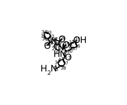 NCc1ccc(C(=O)NC(Cc2ccc(O)cc2)C(=O)N2CCC3C2C(=O)CN3C(=O)c2ccccc2)cc1